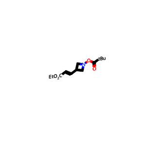 CCOC(=O)/C=C/C1CN(OC(=O)C(C)(C)C)C1